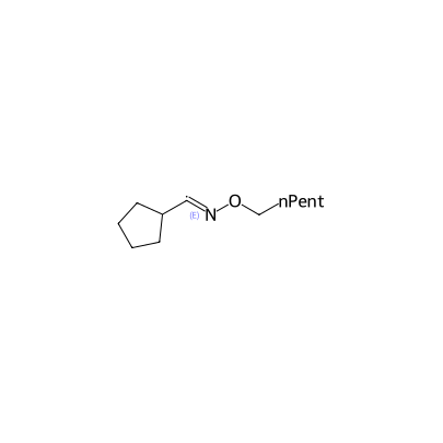 CCCCCCO/N=[C]/C1CCCC1